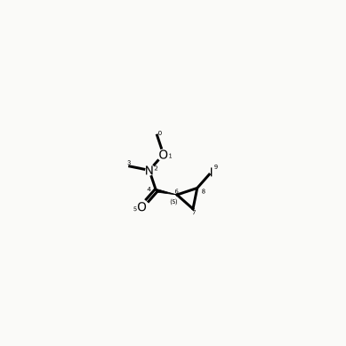 CON(C)C(=O)[C@@H]1CC1I